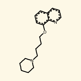 c1cnc2c(OCCCCN3CCCCC3)cccc2c1